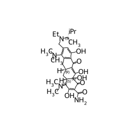 CCN(Cc1cc(O)c2c(c1N(C)C)C[C@H]1C[C@H]3[C@H](N(C)C)C(O)=C(C(N)=O)C(=O)[C@@]3(O)C(O)=C1C2=O)[C@@H](C)C(C)C